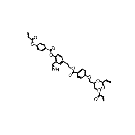 C=CC(=O)OCC(COc1ccc(C(=O)OCCc2ccc(OC(=O)c3ccc(OC(=O)C=C)cc3)c(C=N)c2)cc1)OC(=O)C=C